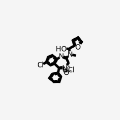 CN(C1=Nc2ccc(Cl)cc2C(c2ccccc2)=[N+]([O-])C1)C(O)c1ccco1.Cl